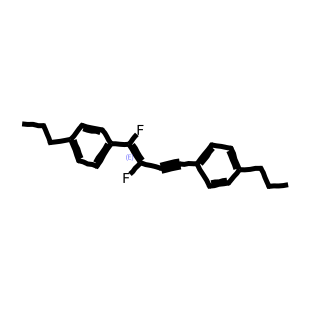 CCCc1ccc(C#C/C(F)=C(\F)c2ccc(CCC)cc2)cc1